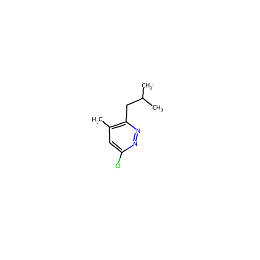 [CH2]C(C)Cc1nnc(Cl)cc1C